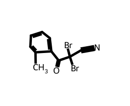 Cc1ccccc1C(=O)C(Br)(Br)C#N